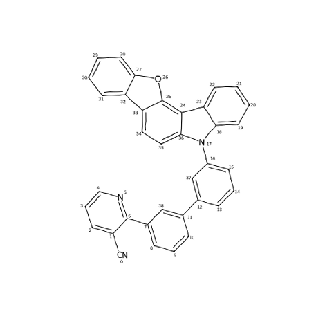 N#Cc1cccnc1-c1cccc(-c2cccc(-n3c4ccccc4c4c5oc6ccccc6c5ccc43)c2)c1